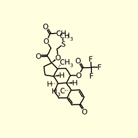 CSCO[C@]1(C(=O)COC(C)=O)CC[C@H]2[C@@H]3CCC4=CC(=O)C=C[C@]4(C)[C@H]3C(OC(=O)C(F)(F)F)C[C@@]21C